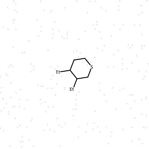 CCC1CCSCC1CC